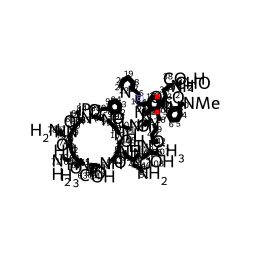 CNC(=O)c1ccccc1Sc1ccc2c(/C=C/c3ccccn3)nn(C(=O)N(CCNC(=O)CC[C@H](NC=O)C(=O)O)CCC(=O)N[C@H](C(=O)N[C@@H](CCN)C(=O)N[C@H]3CCNC(=O)[C@H]([C@@H](C)O)NC(=O)[C@H](CCN)NC(=O)[C@H](CCN)NC(=O)[C@H](CC(C)C)NC(=O)[C@@H](Cc4ccccc4)NC(=O)[C@H](CCN)NC3=O)[C@@H](C)O)c2c1